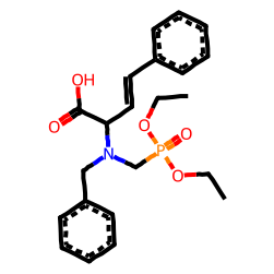 CCOP(=O)(CN(Cc1ccccc1)C(/C=C/c1ccccc1)C(=O)O)OCC